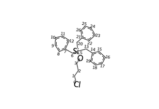 ClCCCO[Si](Cc1ccccc1)(Cc1ccccc1)Cc1ccccc1